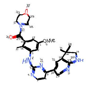 COc1cc(Nc2nccc(-c3cnc4c(c3)C(C)(C)CN4)n2)c(C)c(C(=O)N2CCOCC2)c1